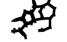 COCC1CCC(C)N2CN1n1cc(C(N)=O)c(=O)cc1C2=O